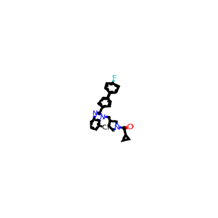 O=C(C1CC1)N1CCC(Cn2c(-c3ccc(-c4ccc(F)cc4)cc3)nc3cccc(C(F)(F)F)c32)C1